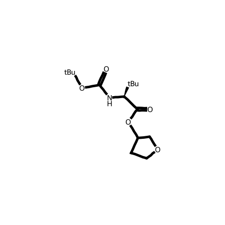 CC(C)(C)OC(=O)N[C@H](C(=O)OC1CCOC1)C(C)(C)C